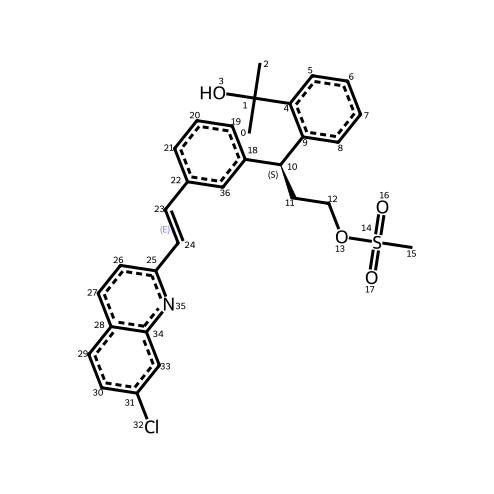 CC(C)(O)c1ccccc1[C@@H](CCOS(C)(=O)=O)c1cccc(/C=C/c2ccc3ccc(Cl)cc3n2)c1